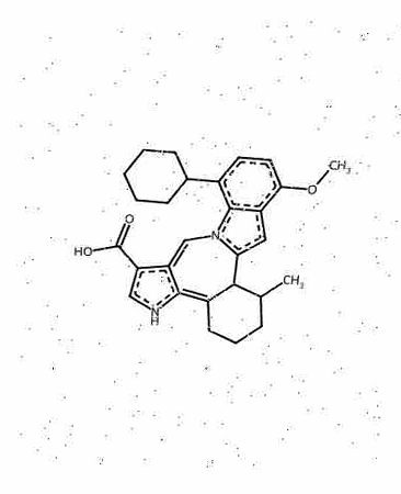 COc1ccc(C2CCCCC2)c2c1cc1n2C=c2c(C(=O)O)c[nH]c2=C2CCCC(C)C21